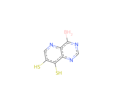 Bc1ncnc2c(S)c(S)cnc12